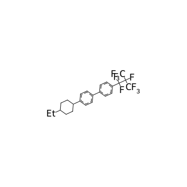 CCC1CCC(c2ccc(-c3ccc(C(F)(F)C(F)(C(F)(F)F)C(F)(F)F)cc3)cc2)CC1